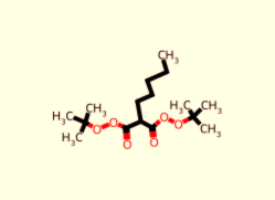 CCCCCC(C(=O)OOC(C)(C)C)C(=O)OOC(C)(C)C